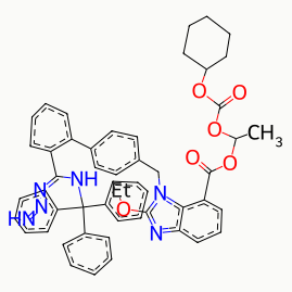 CCOc1nc2cccc(C(=O)OC(C)OC(=O)OC3CCCCC3)c2n1Cc1ccc(-c2ccccc2/C(=N/N=N)NC(c2ccccc2)(c2ccccc2)c2ccccc2)cc1